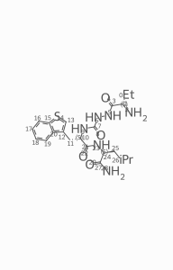 CC[C@H](N)C(=O)NNC(=O)N[C@@H](Cc1csc2ccccc12)C(=O)N[C@@H](CC(C)C)C(N)=O